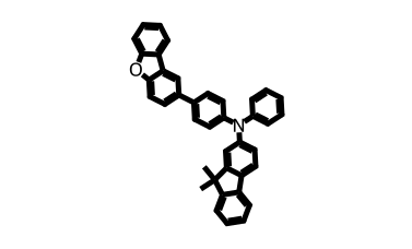 CC1(C)c2ccccc2-c2ccc(N(c3ccccc3)c3ccc(-c4ccc5oc6ccccc6c5c4)cc3)cc21